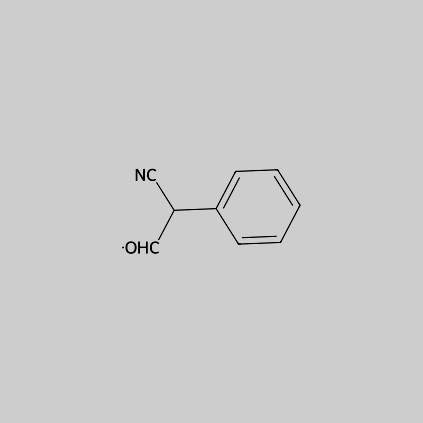 N#CC([C]=O)c1ccccc1